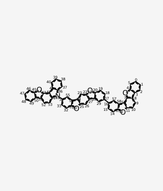 c1ccc2c(c1)oc1c2ccc2oc3ccc(-c4ccc5oc6cc7c(cc6c5c4)oc4ccc(-n5c6ccccc6c6c8oc9ccccc9c8ccc65)cc47)cc3c21